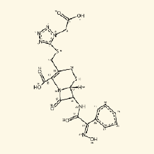 O=C(O)Cn1nnnc1SCC1=C(C(=O)O)N2C(=O)C(NC(=O)/C(=N/O)c3ccccc3)[C@H]2SC1